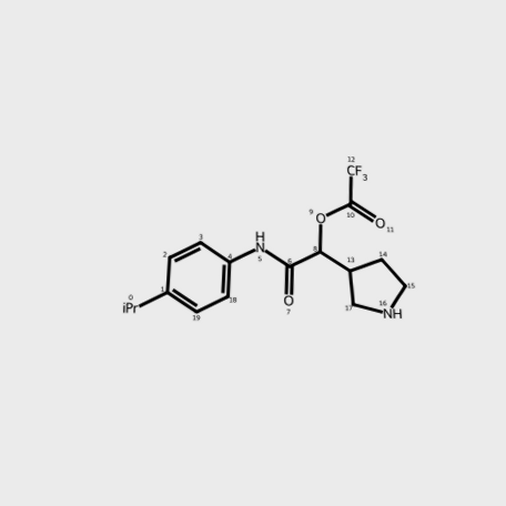 CC(C)c1ccc(NC(=O)C(OC(=O)C(F)(F)F)C2CCNC2)cc1